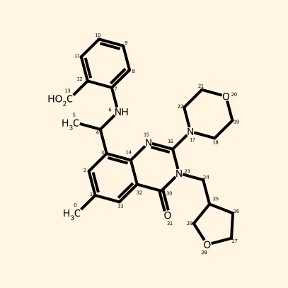 Cc1cc(C(C)Nc2ccccc2C(=O)O)c2nc(N3CCOCC3)n(CC3CCOC3)c(=O)c2c1